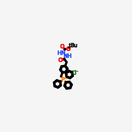 CC(C)(C)OC(=O)NNC(=O)Cc1ccc(C[P+](c2ccccc2)(c2ccccc2)c2ccccc2)cc1.[Cl-]